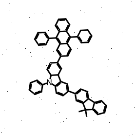 CC1(C)c2ccccc2-c2ccc(-c3ccc4c(c3)C3C=C(c5ccc6c(C7=CC=CCC7)c7ccccc7c(-c7ccccc7)c6c5)C=CC3N4c3ccccc3)cc21